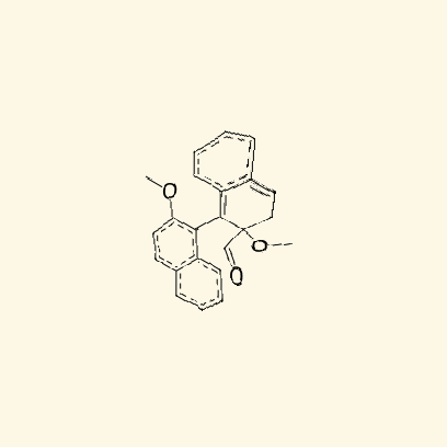 COc1ccc2ccccc2c1C1=c2ccccc2=CCC1(C=O)OC